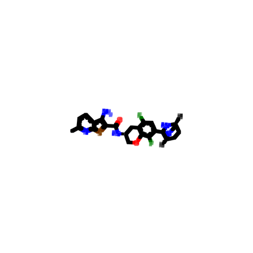 Cc1ccc2c(N)c(C(=O)N[C@H]3COc4c(F)c(N5C[C@H]6CC[C@@H]5CN6)cc(F)c4C3)sc2n1